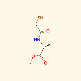 COC(=O)[C@H](C)NC(=O)CS